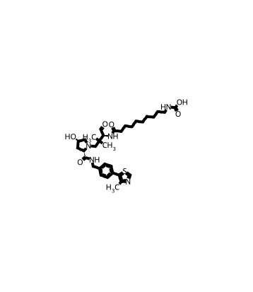 Cc1ncsc1-c1ccc(CNC(=O)[C@@H]2C[C@@H](O)CN2CC(C)(C)[C@@H](C=O)NC(=O)CCCCCCCCCNC(=O)O)cc1